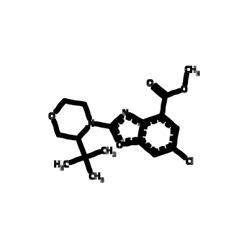 COC(=O)c1cc(Cl)cc2oc(N3CCOCC3C(C)(C)C)nc12